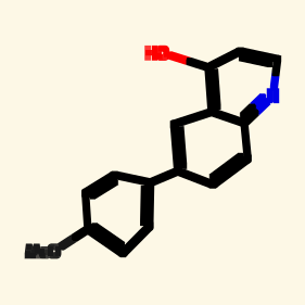 COc1ccc(-c2ccc3nccc(O)c3c2)cc1